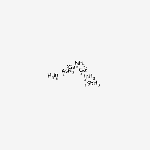 N.[AsH3].[Ga].[Ga].[InH3].[InH3].[SbH3]